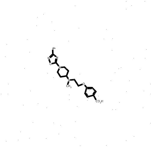 CC(C)c1noc(N2CCC(N(C)CCOc3ccc(C(=O)O)cc3)CC2)n1